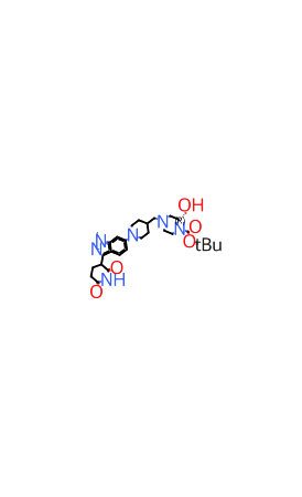 Cn1nc(C2CCC(=O)NC2=O)c2ccc(N3CCC(CN4CCN(C(=O)OC(C)(C)C)[C@@H](CO)C4)CC3)cc21